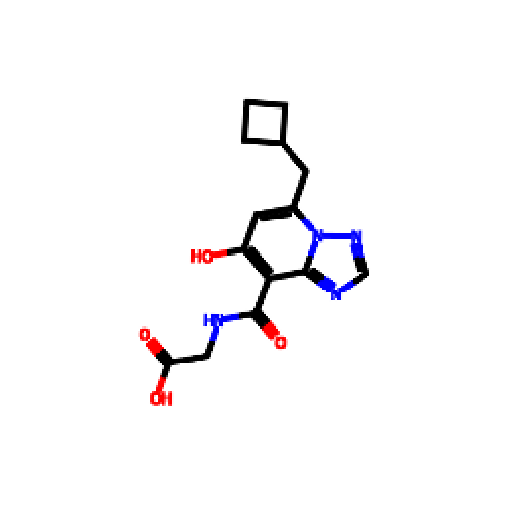 O=C(O)CNC(=O)c1c(O)cc(CC2CCC2)n2ncnc12